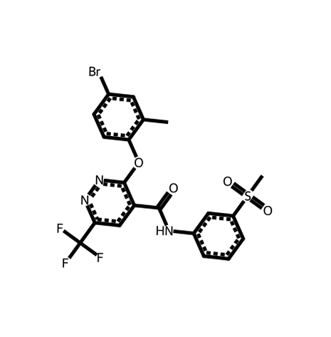 Cc1cc(Br)ccc1Oc1nnc(C(F)(F)F)cc1C(=O)Nc1cccc(S(C)(=O)=O)c1